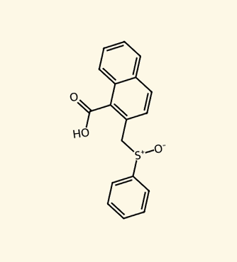 O=C(O)c1c(C[S+]([O-])c2ccccc2)ccc2ccccc12